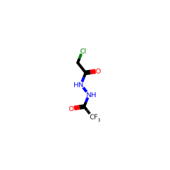 O=C(CCl)NNC(=O)C(F)(F)F